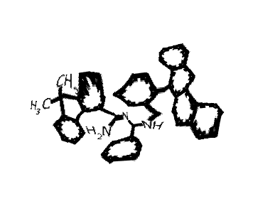 CC1(C)c2ccccc2-c2c(/C(N)=N/C(NCc3ccccc3-c3c4ccccc4cc4c3ccc3ccccc34)c3ccccc3)cccc21